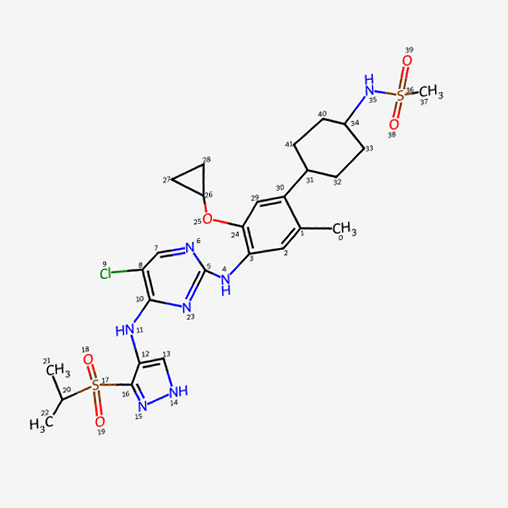 Cc1cc(Nc2ncc(Cl)c(Nc3c[nH]nc3S(=O)(=O)C(C)C)n2)c(OC2CC2)cc1C1CCC(NS(C)(=O)=O)CC1